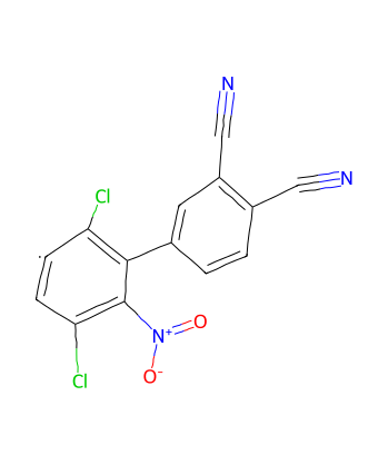 N#Cc1ccc(-c2c(Cl)[c]cc(Cl)c2[N+](=O)[O-])cc1C#N